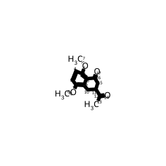 COc1ccc(OC)c2c1CC(C(C)=O)CC2=O